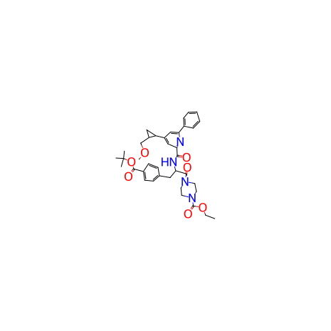 CCOC(=O)N1CCN(C(=O)C(Cc2ccc(C(=O)OC(C)(C)C)cc2)NC(=O)c2cc(C3CC3COC)cc(-c3ccccc3)n2)CC1